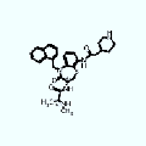 CN[C@@H](C)C(=O)N[C@H]1CSc2c(NC(=O)CC3CCNCC3)cccc2N(Cc2cccc3ccccc23)C1=O